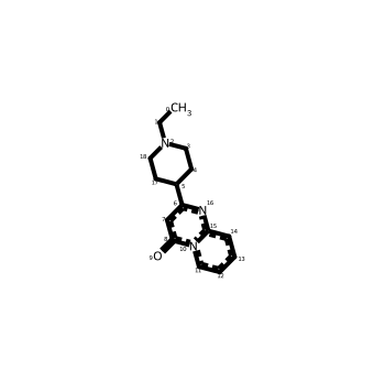 CCN1CCC(c2cc(=O)n3ccccc3n2)CC1